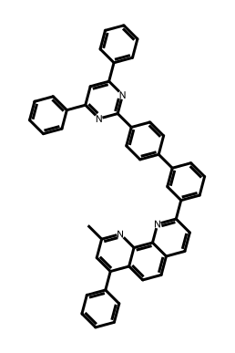 Cc1cc(-c2ccccc2)c2ccc3ccc(-c4cccc(-c5ccc(-c6nc(-c7ccccc7)cc(-c7ccccc7)n6)cc5)c4)nc3c2n1